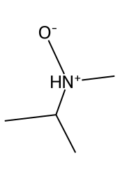 CC(C)[NH+](C)[O-]